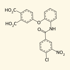 O=C(Nc1ccccc1Oc1ccc(C(=O)O)c(C(=O)O)c1)c1ccc(Cl)c([N+](=O)[O-])c1